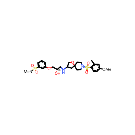 CNS(=O)(=O)c1cccc(OC[C@@H](O)CNC2COC3(CCN(S(=O)(=O)c4ccc(OC)cc4C)CC3)C2)c1